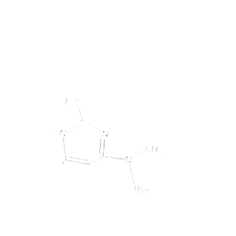 CN(c1ccnc(C(F)(F)F)n1)C(C)(C)C